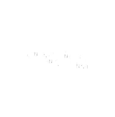 CC(=O)N1CCN(C(=O)Nc2ccc(C=Cc3n[nH]c4ccccc34)c([N+](=O)[O-])c2)CC1